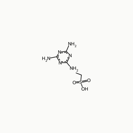 CCS(=O)(=O)O.Nc1nc(N)nc(N)n1